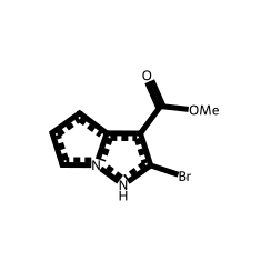 COC(=O)c1c(Br)[nH]n2cccc12